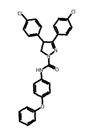 O=C(Nc1ccc(Oc2ccccc2)cc1)N1CC(c2ccc(Cl)cc2)C(c2ccc(Cl)cc2)=N1